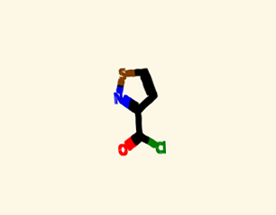 O=C(Cl)c1ccsn1